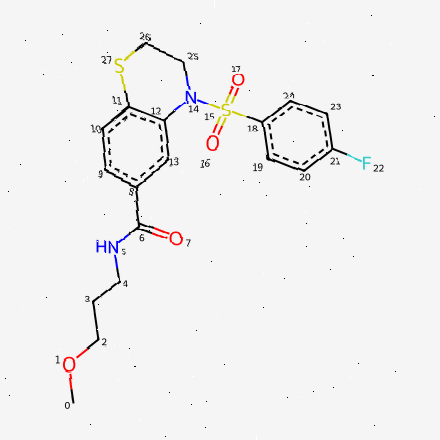 COCCCNC(=O)c1ccc2c(c1)N(S(=O)(=O)c1ccc(F)cc1)CCS2